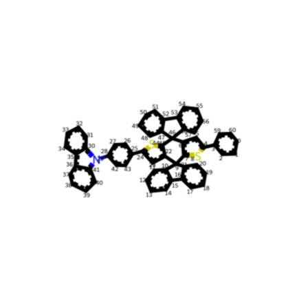 c1ccc(-c2cc3c(s2)C2(c4ccccc4-c4ccccc42)c2cc(-c4ccc(-n5c6ccccc6c6ccccc65)cc4)sc2C32c3ccccc3-c3ccccc32)cc1